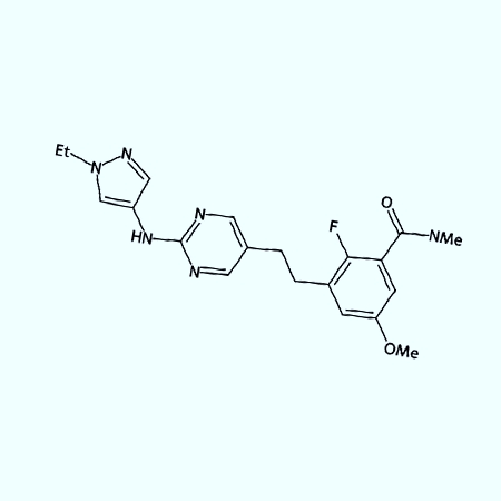 CCn1cc(Nc2ncc(CCc3cc(OC)cc(C(=O)NC)c3F)cn2)cn1